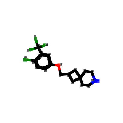 FC(F)(F)c1cc(OCC2CC3(CCNCC3)C2)ccc1Br